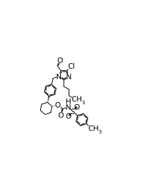 CCCCc1nc(Cl)c(C=O)n1Cc1ccc([C@@H]2CCCC[C@H]2OC(=O)NS(=O)(=O)c2ccc(C)cc2)cc1